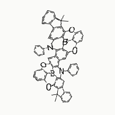 CC1(C)c2ccccc2-c2cc3c4c(c21)Oc1cccc2c1B4c1c(cc4c5c6c(cc4c1N3c1ccccc1)Oc1cccc3c1B6c1c(cc4c(c1O3)C(C)(C)c1ccccc1-4)N5c1ccccc1)O2